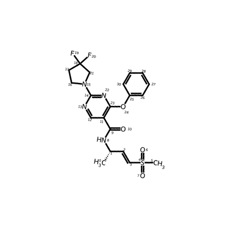 C[C@@H](/C=C/S(C)(=O)=O)NC(=O)c1cnc(N2CCC(F)(F)C2)nc1Oc1ccccc1